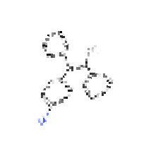 Nc1ccc(C(=C(c2ccccc2)C(F)(F)F)c2ccccc2)cc1